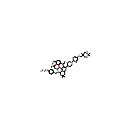 COc1ccc(COC2CC(C)(C)Cc3nc(C4CCN(c5ncc(OCC6(C)COC(C)(C)OC6)cn5)CC4)c(C(F)c4ccc(C)cc4)c(C4CCC(F)(F)CC4)c32)cc1